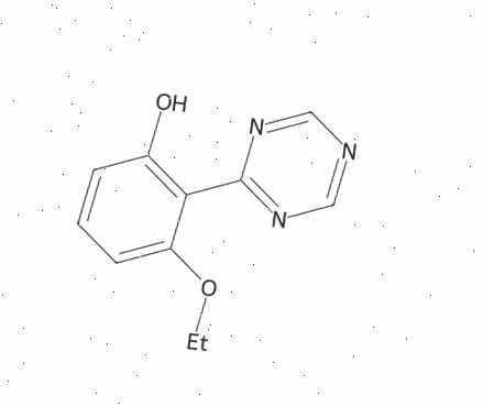 CCOc1cccc(O)c1-c1ncncn1